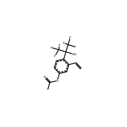 C=Cc1cc(OC(C)=O)ccc1C(O)(C(F)(F)F)C(F)(F)F